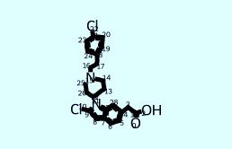 O=C(O)Cc1ccc2cc(Cl)n(C3CCN(CCc4ccc(Cl)cc4)CC3)c2c1